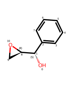 O[C@@H](c1ccccc1)[C@H]1CO1